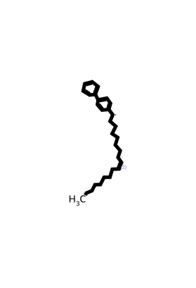 CCCCCCCC/C=C\CCCCCCC[CH]c1ccc(-c2ccccc2)cc1